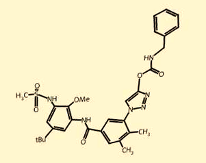 COc1c(NC(=O)c2cc(C)c(C)c(-n3cc(OC(=O)NCc4ccccc4)nn3)c2)cc(C(C)(C)C)cc1NS(C)(=O)=O